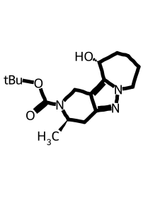 C[C@@H]1Cc2nn3c(c2CN1C(=O)OC(C)(C)C)[C@H](O)CCCC3